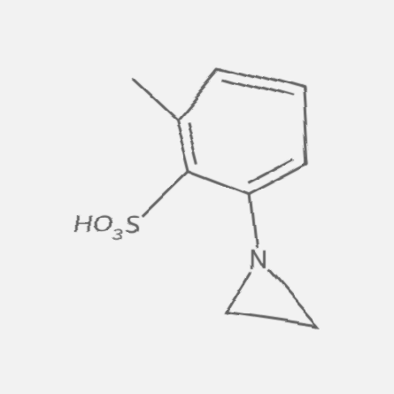 Cc1cccc(N2CC2)c1S(=O)(=O)O